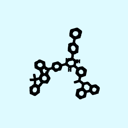 CC(c1cccc(C2NC(c3ccc(-c4ccccc4)cc3)=NC(c3ccc(-n4c5ccccc5c5c6c(ccc54)-c4ccccc4C6(C)C)cc3)N2)c1)C1Cc2ccccc2-c2ccccc21